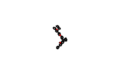 CC1(C)c2cc(-c3ccccc3)ccc2-c2ccc(N(c3ccccc3)c3ccc(-c4ccc(-c5ccc6c7ccccc7n(-c7cccc8ccccc78)c6c5)cc4)cc3)cc21